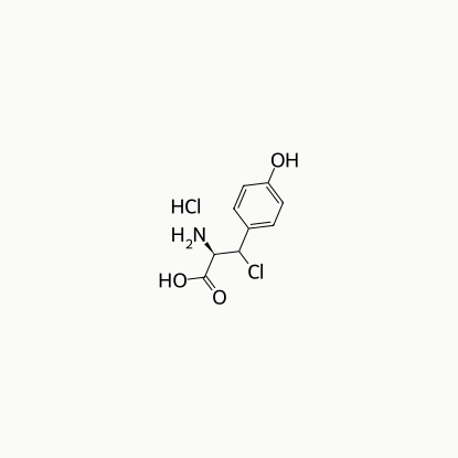 Cl.N[C@H](C(=O)O)C(Cl)c1ccc(O)cc1